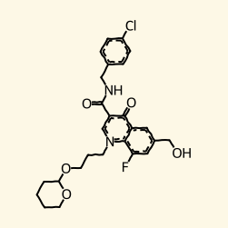 O=C(NCc1ccc(Cl)cc1)c1cn(CCCOC2CCCCO2)c2c(F)cc(CO)cc2c1=O